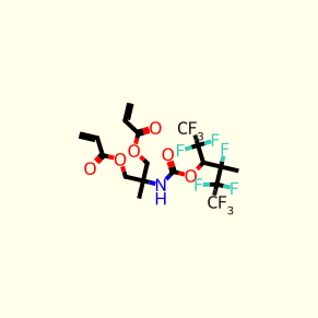 C=CC(=O)OCC(C)(COC(=O)C=C)NC(=O)OC(C(C)(F)C(F)(F)C(F)(F)F)C(F)(F)C(F)(F)F